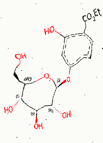 CCOC(=O)c1ccc(O[C@@H]2O[C@H](CO)[C@@H](O)[C@H](O)[C@H]2O)cc1O